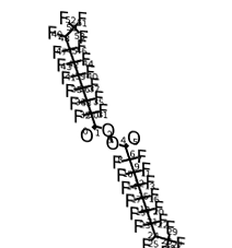 O=C(OOC(=O)C(F)(F)C(F)(F)C(F)(F)C(F)(F)C(F)(F)C(F)(F)C(F)C(F)(F)F)C(F)(F)C(F)(F)C(F)(F)C(F)(F)C(F)(F)C(F)(F)C(F)C(F)(F)F